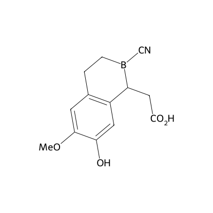 COc1cc2c(cc1O)C(CC(=O)O)B(C#N)CC2